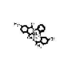 CC1CCC(C(C)C)C(Oc2ccccc2NC(=O)C2CC(C)CCC2C(C)C)C1